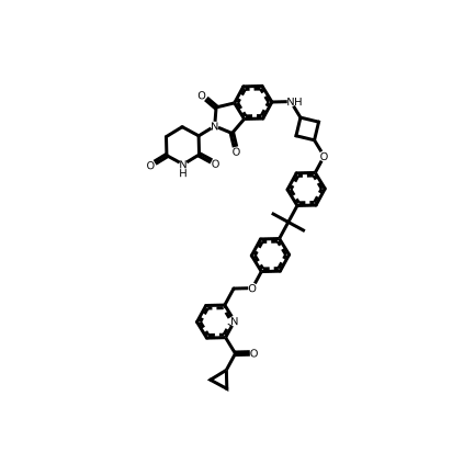 CC(C)(c1ccc(OCc2cccc(C(=O)C3CC3)n2)cc1)c1ccc(OC2CC(Nc3ccc4c(c3)C(=O)N(C3CCC(=O)NC3=O)C4=O)C2)cc1